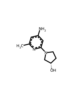 Cc1cc(N)cc(N2CC[C@H](O)C2)n1